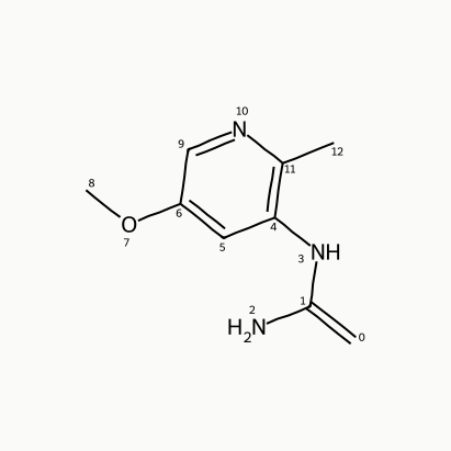 C=C(N)Nc1cc(OC)cnc1C